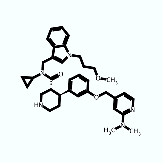 COCCCn1cc(CN(C(=O)[C@H]2CNCC[C@@H]2c2cccc(OCc3ccnc(N(C)C)c3)c2)C2CC2)c2ccccc21